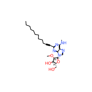 CCCCCCCCCCC#Cc1nc(NC)c2ncn([C@@H]3O[C@H](CO)[C@@H](O)[C@H]3OC)c2n1